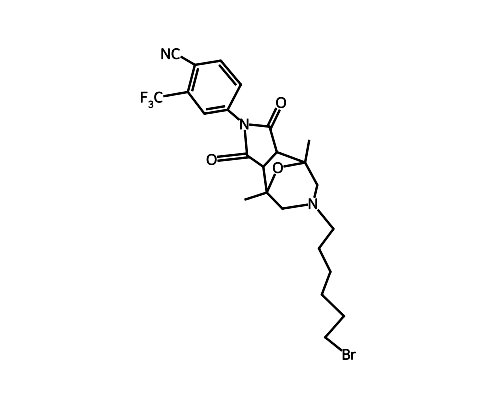 CC12CN(CCCCCCBr)CC(C)(O1)C1C(=O)N(c3ccc(C#N)c(C(F)(F)F)c3)C(=O)C12